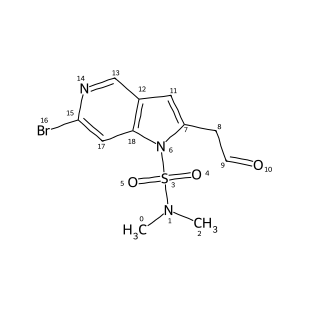 CN(C)S(=O)(=O)n1c(CC=O)cc2cnc(Br)cc21